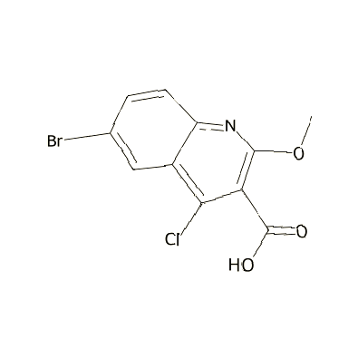 COc1nc2ccc(Br)cc2c(Cl)c1C(=O)O